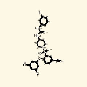 N#Cc1ccc(Oc2cc(Cl)cc(Cl)c2)c(S(=O)(=O)N2CCC(NC(=O)Nc3cccc(F)c3)CC2)c1